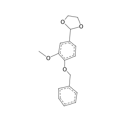 COc1cc(C2OCCO2)ccc1OCc1ccccc1